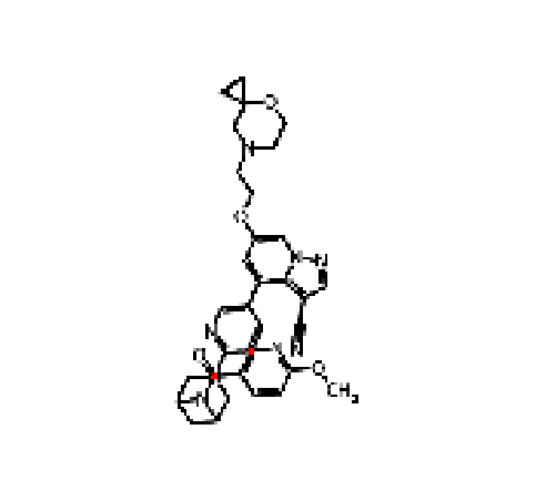 COc1ccc(C(=O)N2C3CC2CN(c2ccc(-c4cc(OCCN5CCOC6(CC6)C5)cn5ncc(C#N)c45)cn2)C3)cn1